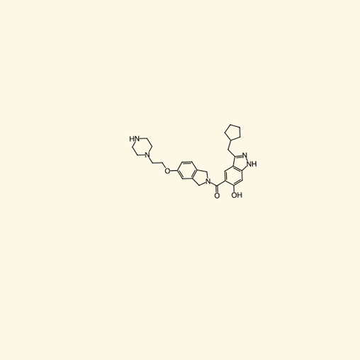 O=C(c1cc2c(CC3CCCC3)n[nH]c2cc1O)N1Cc2ccc(OCCN3CCNCC3)cc2C1